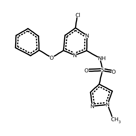 Cn1cc(S(=O)(=O)Nc2nc(Cl)cc(Oc3ccccc3)n2)cn1